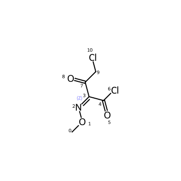 CO/N=C(\C(=O)Cl)C(=O)CCl